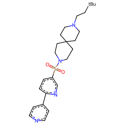 CC(C)(C)CCN1CCC2(CC1)CCN(S(=O)(=O)c1ccc(-c3ccncc3)nc1)CC2